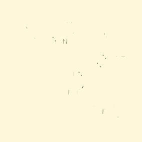 C[C@@H](Nc1nn(C)c(=O)c2cc(=O)n(N3CCC4(CCCO4)CC3)cc12)c1cccc(C(F)(F)F)c1F